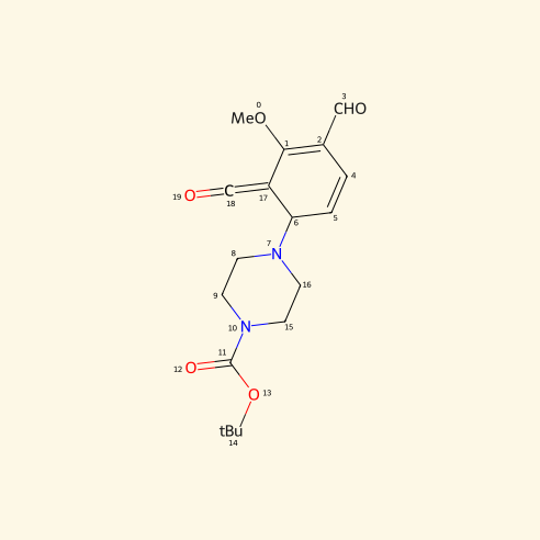 COC1=C(C=O)C=CC(N2CCN(C(=O)OC(C)(C)C)CC2)C1=C=O